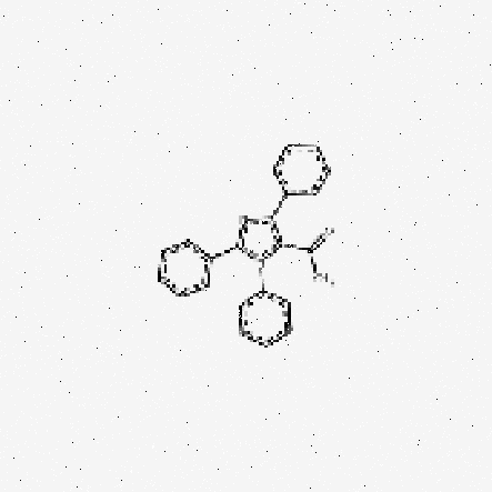 CC(=O)c1c(-c2ccccc2)nc(-c2ccccc2)n1-c1ccccc1